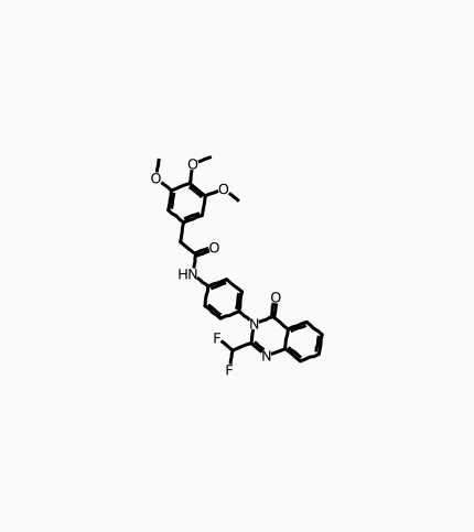 COc1cc(CC(=O)Nc2ccc(-n3c(C(F)F)nc4ccccc4c3=O)cc2)cc(OC)c1OC